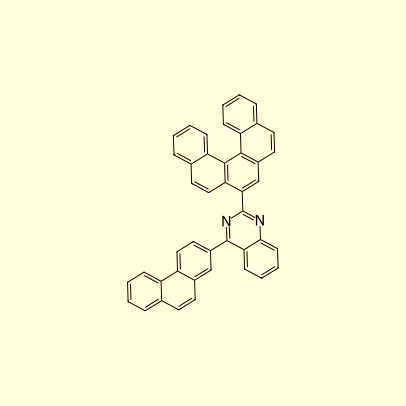 c1ccc2c(c1)ccc1cc(-c3nc(-c4cc5ccc6ccccc6c5c5c4ccc4ccccc45)nc4ccccc34)ccc12